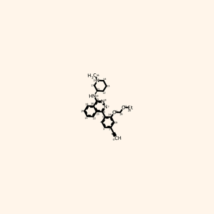 C#Cc1ccc(-c2nnc(N[C@@H]3CCCN(C)C3)c3ccccc23)c(OCOCC)c1